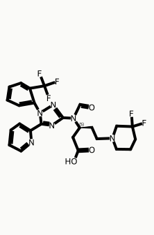 O=CN(c1nc(-c2ccccn2)n(-c2ccccc2C(F)(F)F)n1)[C@@H](CCN1CCCC(F)(F)C1)CC(=O)O